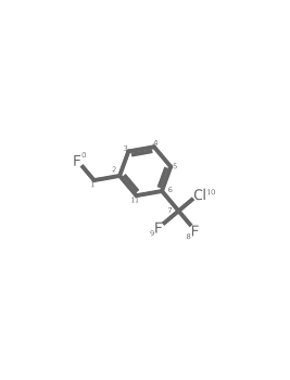 FCc1cccc(C(F)(F)Cl)c1